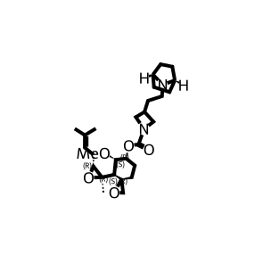 CO[C@@H]1[C@H](OC(=O)N2CC(CCN3[C@H]4CC[C@H]3CC4)C2)CC[C@]2(CO2)[C@H]1[C@@]1(C)O[C@@H]1CC=C(C)C